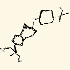 C[C@](N)(CO)c1ccc2cc(O[C@H]3CC[C@@H](C(F)(F)F)CC3)ccc2c1